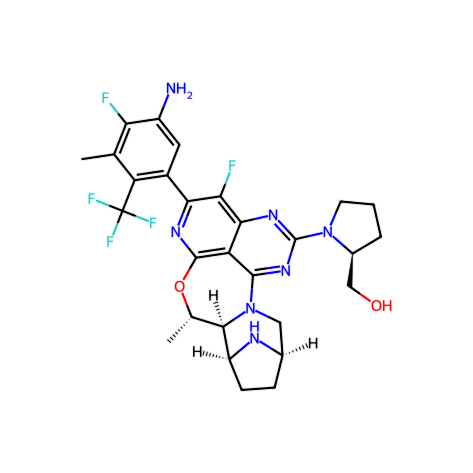 Cc1c(F)c(N)cc(-c2nc3c4c(nc(N5CCC[C@H]5CO)nc4c2F)N2C[C@H]4CC[C@H](N4)[C@H]2[C@H](C)O3)c1C(F)(F)F